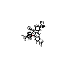 C=CC(=C(c1ccc(N(C)C)cc1)c1ccc(N(C)C)cc1)C1(c2ccc(N(CC)CC)cc2)OC(=O)c2ccccc21